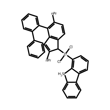 CCCC1=Cc2c(ccc(CCC)c2-c2ccccc2-c2ccccc2)[CH]1[Zr]([Cl])([Cl])[c]1cccc2c1[SiH2]c1ccccc1-2